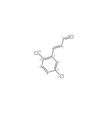 O=CC=Cc1cc(Cl)ccc1Cl